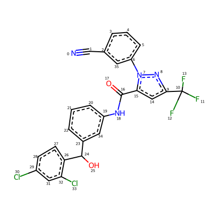 N#Cc1cccc(-n2nc(C(F)(F)F)cc2C(=O)Nc2cccc(C(O)c3ccc(Cl)cc3Cl)c2)c1